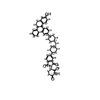 O=C1CCC(N2C(=O)c3ccc(C4CCN(CC5CCN(c6ccc([C@@H]7c8ccc(O)cc8CC[C@@H]7c7ccccc7)cc6)CC5)CC4)cc3C2=O)C(=O)N1